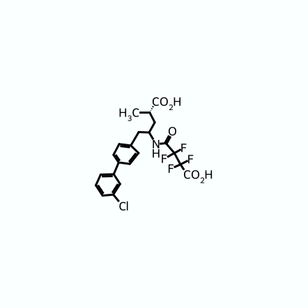 C[C@@H](CC(Cc1ccc(-c2cccc(Cl)c2)cc1)NC(=O)C(F)(F)C(F)(F)C(=O)O)C(=O)O